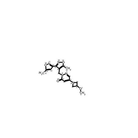 COC1CN(c2cnn(Cc3c(-c4cc(C)on4)noc3C)c(=O)c2)C1